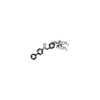 CC(C)S(=O)(=O)Nc1ccc(CNc2ccc(-c3ccccc3)cc2)cc1